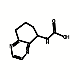 O=C(O)NC1CCCc2nccnc21